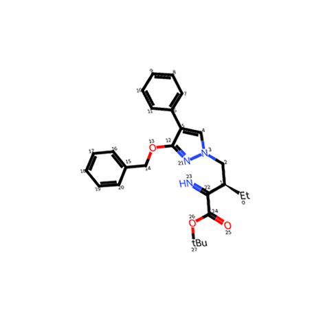 CC[C@H](Cn1cc(-c2ccccc2)c(OCc2ccccc2)n1)C(=N)C(=O)OC(C)(C)C